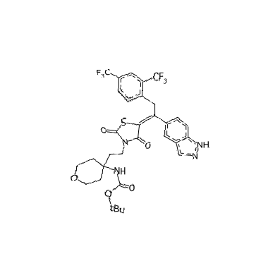 CC(C)(C)OC(=O)NC1(CCN2C(=O)SC(=C(Cc3ccc(C(F)(F)F)cc3C(F)(F)F)c3ccc4[nH]ncc4c3)C2=O)CCOCC1